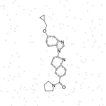 O=C(c1ccc2nc(-n3cnc4cc(OCC5CC5)ccc43)ccc2c1)N1CCCC1